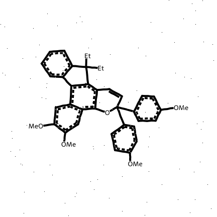 CCC1(CC)c2ccccc2-c2c1c1c(c3cc(OC)c(OC)cc23)OC(c2ccc(OC)cc2)(c2ccc(OC)cc2)C=C1